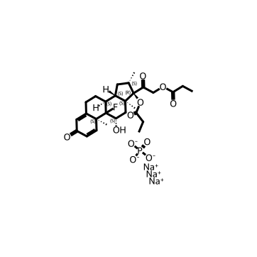 CCC(=O)OCC(=O)[C@@]1(OC(=O)CC)[C@@H](C)C[C@H]2[C@@H]3CCC4=CC(=O)C=C[C@]4(C)C3(F)[C@@H](O)C[C@@]21C.O=P([O-])([O-])[O-].[Na+].[Na+].[Na+]